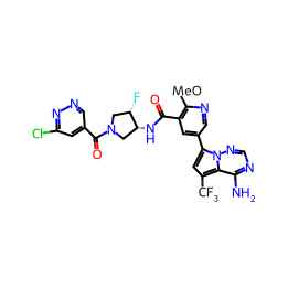 COc1ncc(-c2cc(C(F)(F)F)c3c(N)ncnn23)cc1C(=O)N[C@@H]1CN(C(=O)c2cnnc(Cl)c2)C[C@@H]1F